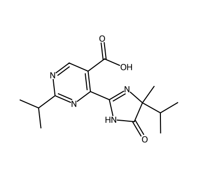 CC(C)c1ncc(C(=O)O)c(C2=NC(C)(C(C)C)C(=O)N2)n1